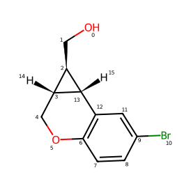 OC[C@@H]1[C@H]2COc3ccc(Br)cc3[C@@H]12